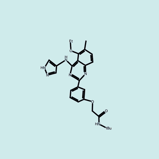 CCOc1c(C)ccc2nc(-c3cccc(OCC(=O)NC(C)(C)C)c3)nc(Nc3cn[nH]c3)c12